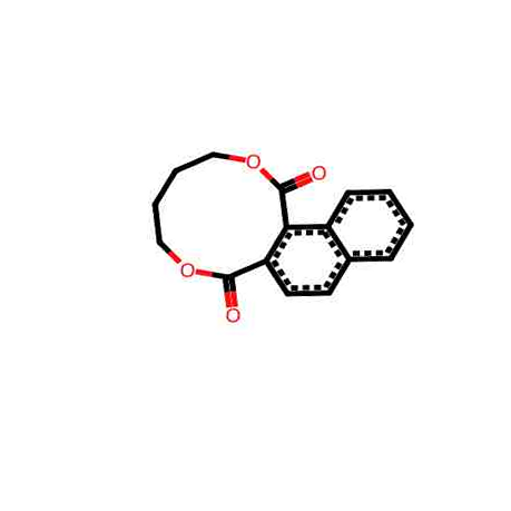 O=C1OCCCCOC(=O)c2c1ccc1ccccc21